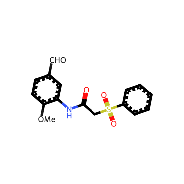 COc1ccc(C=O)cc1NC(=O)CS(=O)(=O)c1ccccc1